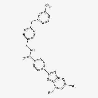 [C-]#[N+]c1cc(C(C)C)c2oc(-c3ccc(C(=O)NCc4ccc(Cc5cccc(C(F)(F)F)c5)cc4)cc3)nc2c1